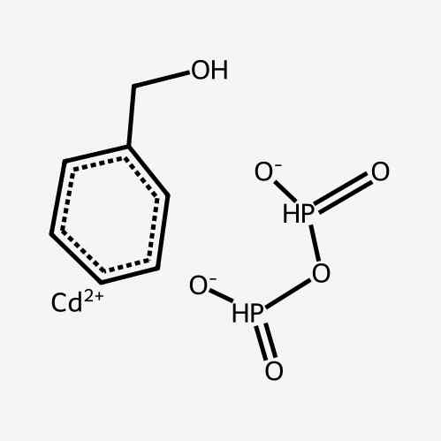 O=[PH]([O-])O[PH](=O)[O-].OCc1ccccc1.[Cd+2]